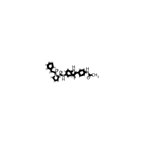 CC(=O)Nc1ccc(-c2[nH]c3ccc(NC(=O)[C@@H]4CCCN4C(=O)[CH]c4ccccc4)cc3c2F)cc1